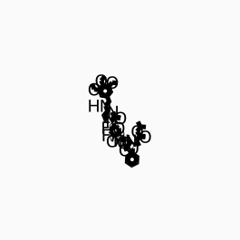 COc1cc(CNc2ccn([C@@H]3O[C@H](COP(=O)(NC(C)C(=O)OC(C)C)Oc4ccccc4)[C@@H](O)C3(F)F)c(=O)n2)cc(OC)c1OC